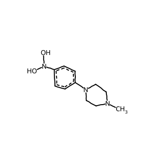 CN1CCN(c2ccc(N(O)O)cc2)CC1